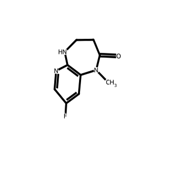 CN1C(=O)CCNc2ncc(F)cc21